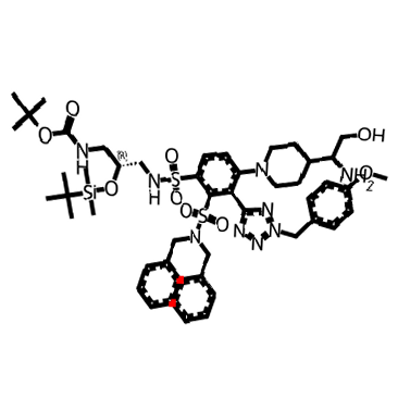 COc1ccc(Cn2nnc(-c3c(N4CCC(C(N)CO)CC4)ccc(S(=O)(=O)NC[C@@H](CNC(=O)OC(C)(C)C)O[Si](C)(C)C(C)(C)C)c3S(=O)(=O)N(Cc3ccccc3)Cc3ccccc3)n2)cc1